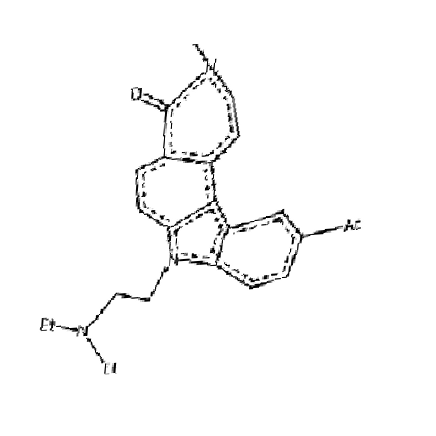 CCN(CC)CCn1c2ccc(C(C)=O)cc2c2c3ccn(C)c(=O)c3ccc21